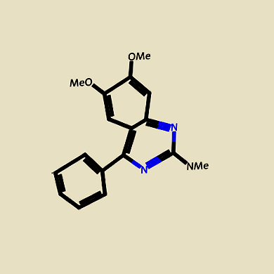 CNc1nc(-c2c[c]ccc2)c2cc(OC)c(OC)cc2n1